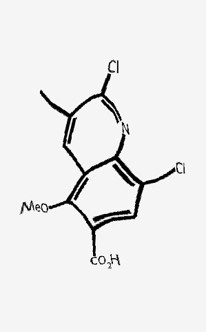 COc1c(C(=O)O)cc(Cl)c2nc(Cl)c(C)cc12